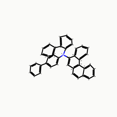 c1ccc(-c2ccc(N(c3ccccc3-c3ccccc3)c3cc4ccc5ccccc5c4c4ccccc34)cc2)cc1